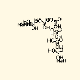 O=[Si](O)O.O=[Si](O)O.O=[Si](O)O.O=[Si](O)O.O=[Si](O)O.O=[Si](O)O.[NaH].[NaH].[NaH].[NaH]